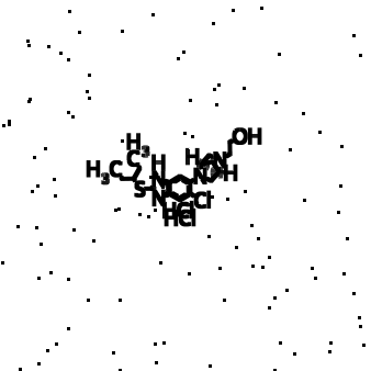 CCC(CC)Sc1nc2cc(Cl)c(N3C[C@@H]4C[C@@H]3CN4CCO)cc2[nH]1.Cl.Cl